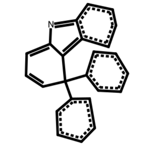 C1=CC(c2ccccc2)(c2ccccc2)C2=c3ccccc3=NC2=C1